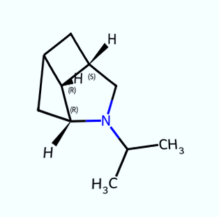 CC(C)N1C[C@H]2CC3C[C@@H]1[C@H]32